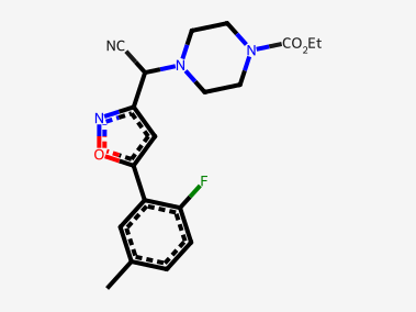 CCOC(=O)N1CCN(C(C#N)c2cc(-c3cc(C)ccc3F)on2)CC1